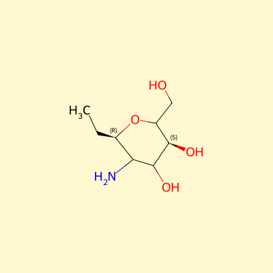 CC[C@H]1OC(CO)[C@@H](O)C(O)C1N